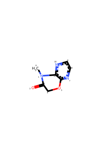 CN1C(=O)COc2nccnc21